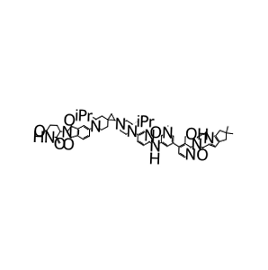 CC(C)C1CC2(CCN1c1ccc3c(c1)C(=O)N(C1CCC(=O)NC1=O)C3=O)C[C@@H]2N1CCN(c2ccc(Nc3cc(-c4ccnc(N5CCn6c(cc7c6CC(C)(C)C7)C5=O)c4CO)cn(C)c3=O)nc2)[C@@H](C(C)C)C1